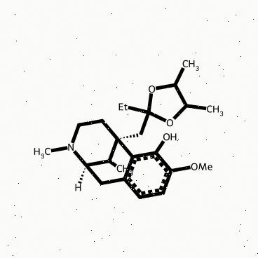 CCC1(C[C@]23CCN(C)[C@H](Cc4ccc(OC)c(O)c42)C3C)OC(C)C(C)O1